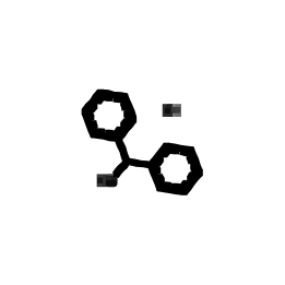 OC(c1ccccc1)c1ccccc1.[KH]